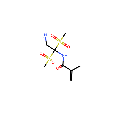 C=C(C)C(=O)NC(CN)(S(C)(=O)=O)S(C)(=O)=O